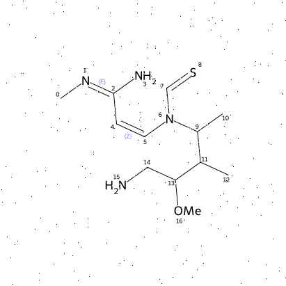 C/N=C(N)\C=C/N(C=S)C(C)C(C)C(CN)OC